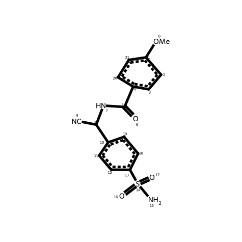 COc1ccc(C(=O)NC(C#N)c2ccc(S(N)(=O)=O)cc2)cc1